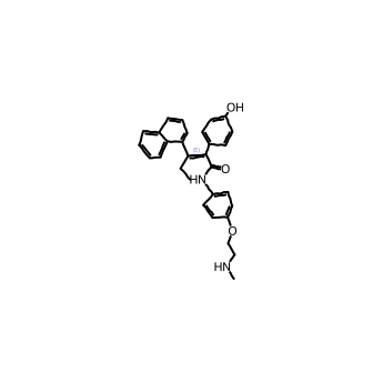 CC/C(=C(\C(=O)Nc1ccc(OCCNC)cc1)c1ccc(O)cc1)c1cccc2ccccc12